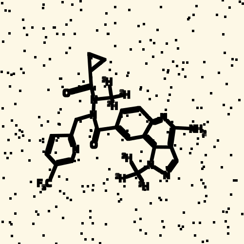 [2H]C([2H])([2H])N(C(=O)C1CC1)N(Cc1ccc(C(F)(F)F)cn1)C(=O)c1ccc2nc(N)c3cnn(C([2H])([2H])[2H])c3c2c1